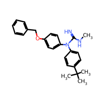 CNC(=N)N(c1ccc(OCc2ccccc2)cc1)c1ccc(C(C)(C)C)cc1